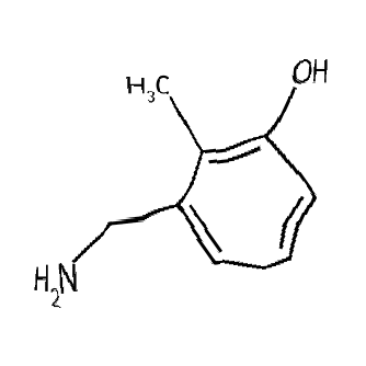 Cc1c(O)cccc1CN